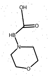 O=C(O)BN1CCOCC1